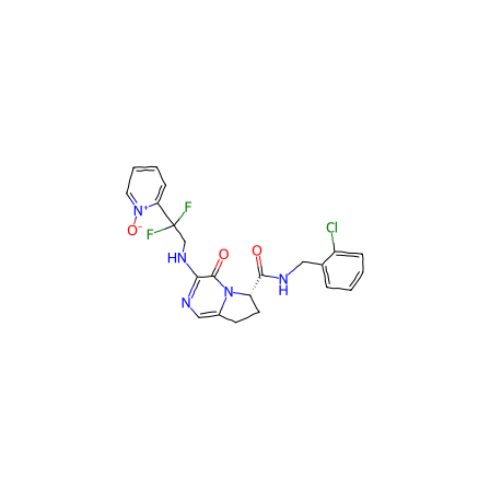 O=C(NCc1ccccc1Cl)[C@@H]1CCc2cnc(NCC(F)(F)c3cccc[n+]3[O-])c(=O)n21